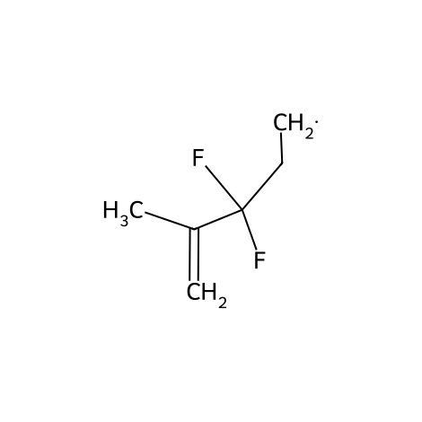 [CH2]CC(F)(F)C(=C)C